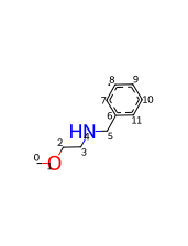 COCCNCc1c[c]ccc1